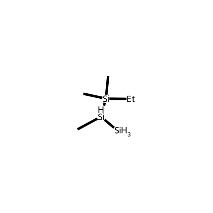 CC[Si](C)(C)[SiH](C)[SiH3]